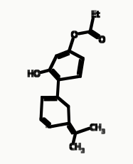 [CH2]CC(=O)Oc1ccc(C2=CC=[C]C(=C(C)C)C2)c(O)c1